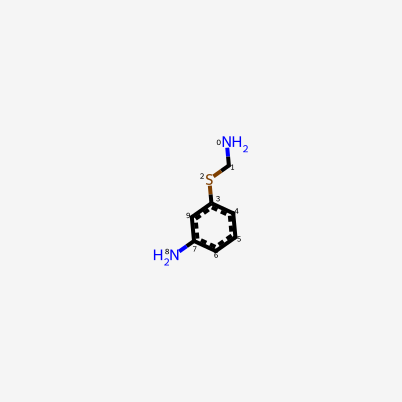 NCSc1cccc(N)c1